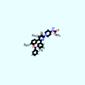 COc1ccc(-c2c(-c3ccc(C#N)c(F)c3)nc(N3CCC(NC(=O)OC(C)(C)C)CC3)c(Br)c2OC)cc1OCc1ccccc1